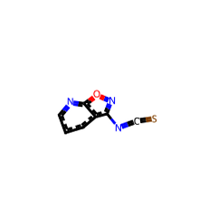 S=C=Nc1noc2ncccc12